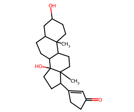 CC12CCC(O)CC1CCC1C2CCC2(C)C(C3=CC(=O)CC3)CCC12O